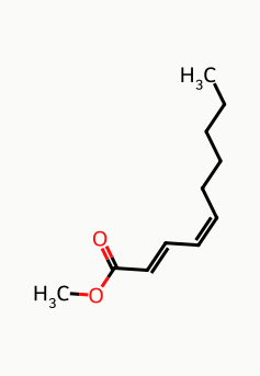 CCCCC/C=C\C=C\C(=O)OC